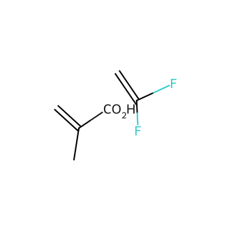 C=C(C)C(=O)O.C=C(F)F